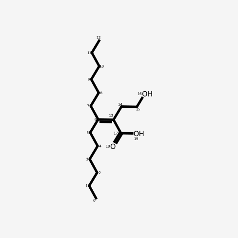 CCCCCCC(CCCCCC)=C(CCO)C(=O)O